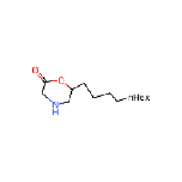 CCCCCCCCCCC1CNCC(=O)O1